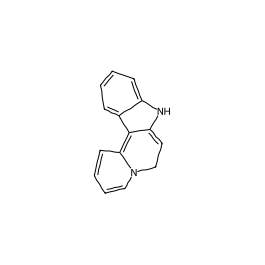 C1=CC2=c3c([nH]c4ccccc34)=CCN2C=C1